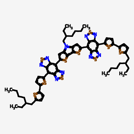 CCCCC(CC)Cc1ccc(-c2ccc(-c3c4c(c(-c5cc6c(s5)c5sc(-c7c8c(c(-c9ccc(-c%10ccc(CC(CC)CCCC)s%10)s9)c9nsnc79)N=S=N8)cc5n6CC(CC)CCCC)c5nsnc35)N=S=N4)s2)s1